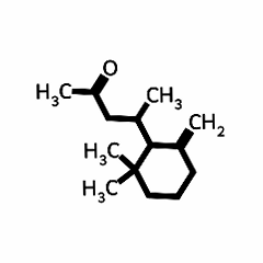 C=C1CCCC(C)(C)C1C(C)CC(C)=O